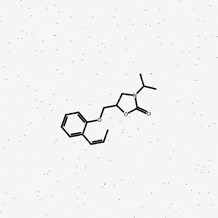 C/C=C\c1ccccc1OCC1CN(C(C)C)C(=O)O1